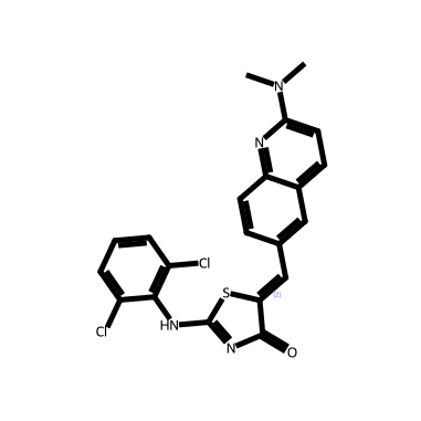 CN(C)c1ccc2cc(/C=C3\SC(Nc4c(Cl)cccc4Cl)=NC3=O)ccc2n1